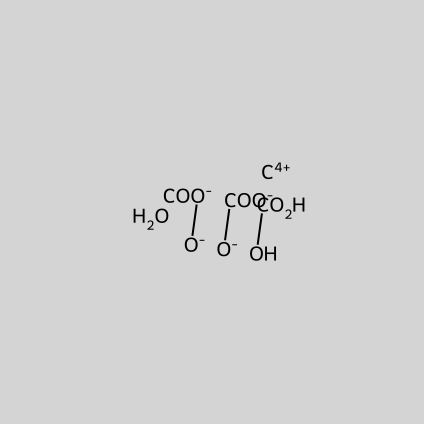 O.O=C(O)O.O=C([O-])[O-].O=C([O-])[O-].[C+4]